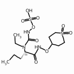 CCC[C@@H](C(=O)NOC1CCS(=O)(=O)CC1)N(CC)C(=O)NOS(=O)(=O)O